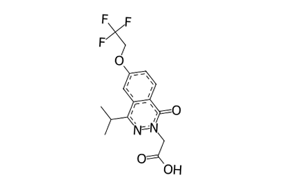 CC(C)c1nn(CC(=O)O)c(=O)c2ccc(OCC(F)(F)F)cc12